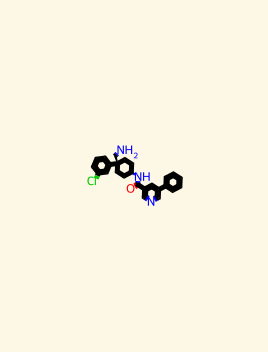 NC[C@]1(c2cccc(Cl)c2)CC[C@H](NC(=O)c2cncc(-c3ccccc3)c2)CC1